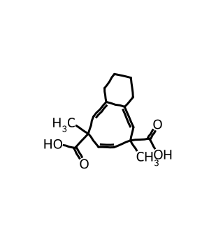 CC1(C(=O)O)/C=C\C(C)(C(=O)O)/C=C2/CCCC/C2=C/1